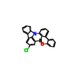 Clc1cc2c3c(c1)c1ccccc1n3-c1cccc3c1B2Oc1ccccc1-3